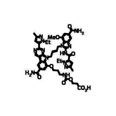 CCn1nc(C)cc1C(=O)Nc1nc2cc(C(N)=O)cc(OC)c2n1C/C=C/Cn1c2nc(-c3cc(C)nn3CC)ncc2c2cc(C(N)=O)cc(OCCCNC(=O)OCCC(=O)O)c21